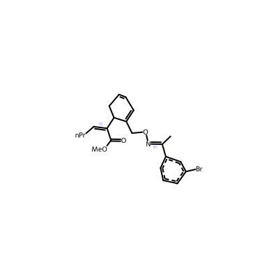 CCC/C=C(\C(=O)OC)C1CC=CC=C1CO/N=C(\C)c1cccc(Br)c1